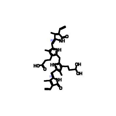 C=CC1=C(C)/C(=C/c2[nH]c(Cc3[nH]c(/C=C4\NC(=O)C(C=C)=C4C)c(C)c3CCC(O)O)c(CCC(=O)O)c2C)NC1=O